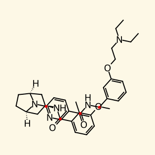 CCN(CC)CCOc1cccc(CNC(=O)c2ccc(N3[C@@H]4CC[C@H]3C[C@@H](NC(=O)c3cccc(OC)c3C)C4)nc2)c1